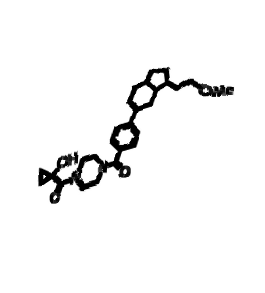 COCCC1CCC2CCC(c3ccc(C(=O)N4CCN(C(=O)C5(O)CC5)CC4)cc3)CC12